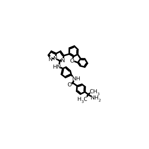 CC(C)(N)c1ccc(C(=O)Nc2ccc(Nc3nc(-c4cccc5c4oc4ccccc45)cc4ccnn34)cc2)cc1